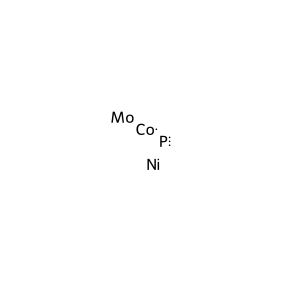 [Co].[Mo].[Ni].[P]